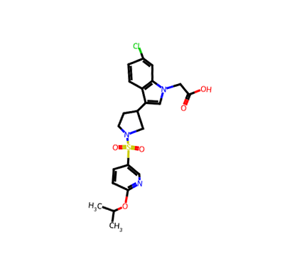 CC(C)Oc1ccc(S(=O)(=O)N2CCC(c3cn(CC(=O)O)c4cc(Cl)ccc34)C2)cn1